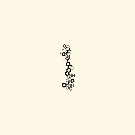 COC(=O)N[C@H](C(=O)N1C[C@@H](I)C[C@H]1c1ncc(-c2ccc3c(c2)COc2cc4c(ccc5nc([C@@H]6CCCN6C(=O)[C@H](NC(=O)OC)c6ccccc6)[nH]c54)cc2-3)[nH]1)C(C)C